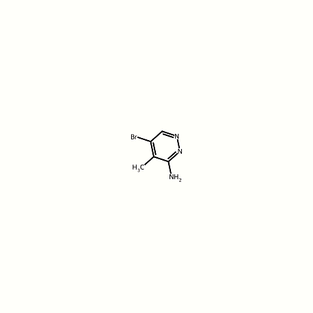 Cc1c(Br)cnnc1N